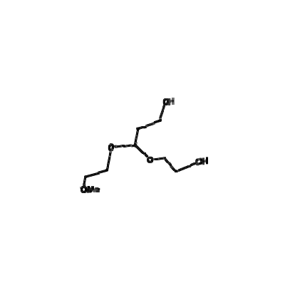 COCCOC(CCO)OCCO